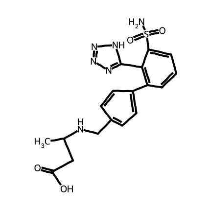 CC(CC(=O)O)NCc1ccc(-c2cccc(S(N)(=O)=O)c2-c2nnn[nH]2)cc1